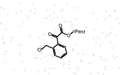 CCCCCOC(=O)C(=O)c1ccccc1CCl